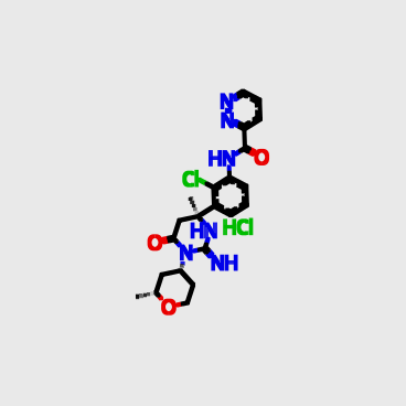 C[C@@H]1C[C@H](N2C(=N)N[C@](C)(c3cccc(NC(=O)c4cccnn4)c3Cl)CC2=O)CCO1.Cl